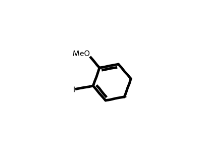 COC1=CC[CH]C=C1I